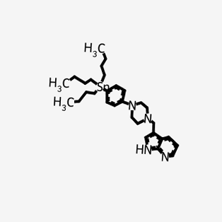 CCC[CH2][Sn]([CH2]CCC)([CH2]CCC)[c]1ccc(N2CCN(Cc3c[nH]c4ncccc34)CC2)cc1